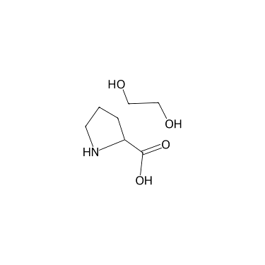 O=C(O)C1CCCN1.OCCO